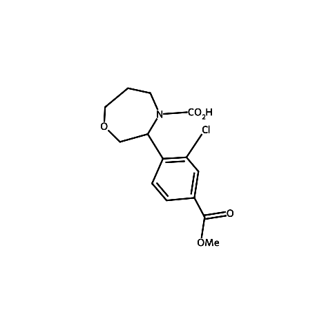 COC(=O)c1ccc(C2COCCCN2C(=O)O)c(Cl)c1